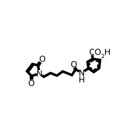 O=C(CCCCCN1C(=O)C=CC1=O)Nc1cccc(C(=O)O)c1